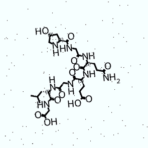 CC(C)C[C@H](NC(=O)CNC(=O)[C@H](CCC(=O)O)NC(=O)[C@H](CCC(N)=O)NC(=O)CNC(=O)[C@@H]1C[C@@H](O)CN1)C(=O)NCC(=O)O